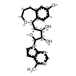 Cc1ncnc2c1ccn2C1O[C@H]([C@@H]2OCCCc3cc(Cl)ccc32)[C@@H](O)[C@H]1O